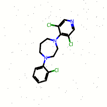 Clc1ccccc1N1CCCN(c2c(Cl)cncc2Cl)CC1